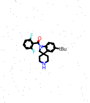 CC(C)(C)c1ccc2c(c1)C1(CCNCC1)CN2C(=O)c1c(F)cccc1F